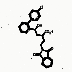 O=C(O)C(CCN1C(=O)c2ccccc2C1=O)CC(O)c1ccccc1-c1ccc(Cl)cc1